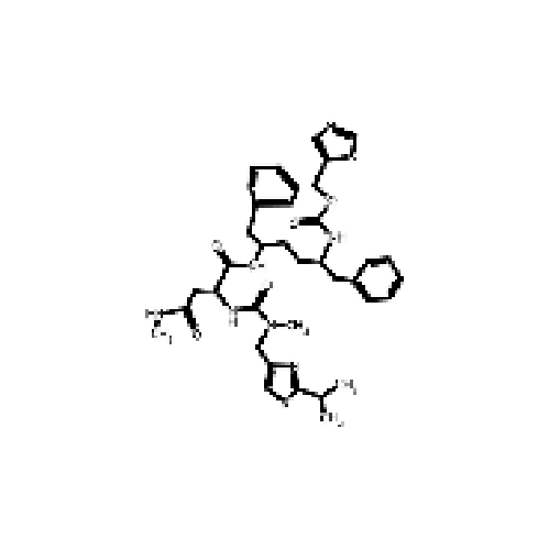 CNC(=O)C[C@H](NC(=O)N(C)Cc1csc(C(C)C)n1)C(=O)N[C@H](CC[C@H](Cc1ccccc1)NC(=O)OCc1cncs1)Cc1ccccc1